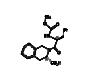 CC(C)C[C@H](NC(=O)OC(C)(C)C)C(=O)N1Cc2ccccc2C[C@H]1C(=O)O